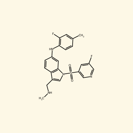 CNCc1cn(S(=O)(=O)c2cncc(F)c2)c2cc(Nc3ccc(C)cc3F)ccc12